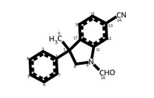 CC1(c2ccccc2)CN(C=O)c2cc(C#N)ccc21